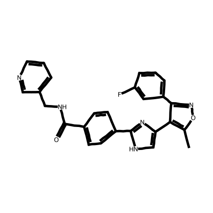 Cc1onc(-c2cccc(F)c2)c1-c1c[nH]c(-c2ccc(C(=O)NCc3cccnc3)cc2)n1